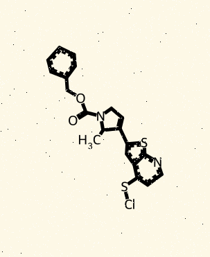 CC1C(c2cc3c(SCl)ccnc3s2)=CCN1C(=O)OCc1ccccc1